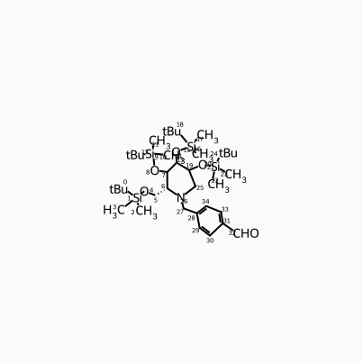 CC(C)(C)[Si](C)(C)OC[C@@H]1C(O[Si](C)(C)C(C)(C)C)C(O[Si](C)(C)C(C)(C)C)C(O[Si](C)(C)C(C)(C)C)CN1Cc1ccc(C=O)cc1